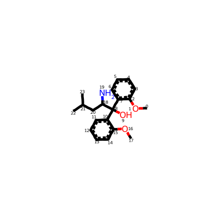 COc1ccccc1C(O)(c1ccccc1OC)C(N)CC(C)C